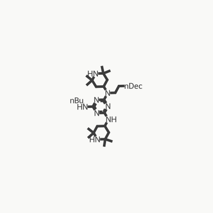 CCCCCCCCCCCCN(c1nc(NCCCC)nc(NC2CC(C)(C)NC(C)(C)C2)n1)C1CC(C)(C)NC(C)(C)C1